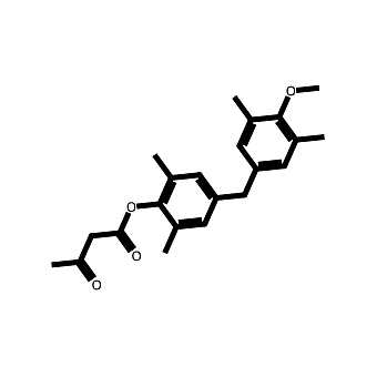 COc1c(C)cc(Cc2cc(C)c(OC(=O)CC(C)=O)c(C)c2)cc1C